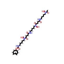 CC(=O)N(O)CCCCCNC(=O)CCC(=O)N(O)CCCCCNC(=O)CCC(=O)N(O)CCCCCNC(=O)OC1CC/C=C/CCC1